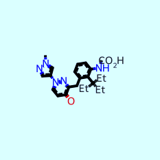 CCC(CC)(CC)c1c(Cc2nn(-c3cnn(C)c3)ccc2=O)cccc1NC(=O)O